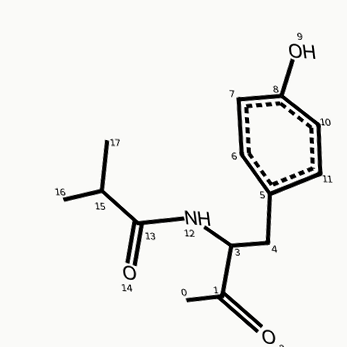 CC(=O)C(Cc1ccc(O)cc1)NC(=O)C(C)C